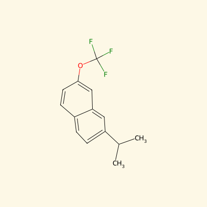 CC(C)c1ccc2ccc(OC(F)(F)F)cc2c1